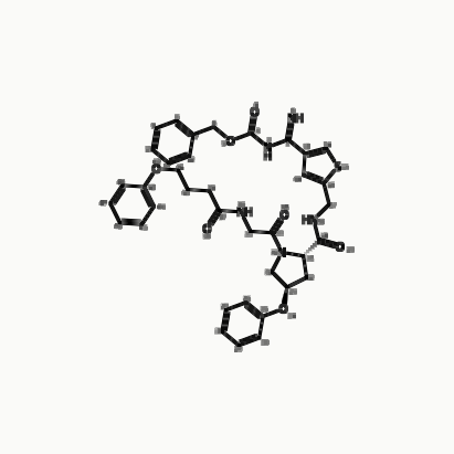 N=C(NC(=O)OCc1ccccc1)c1csc(CNC(=O)[C@@H]2C[C@@H](Oc3ccccc3)CN2C(=O)CNC(=O)CCCOc2ccccc2)c1